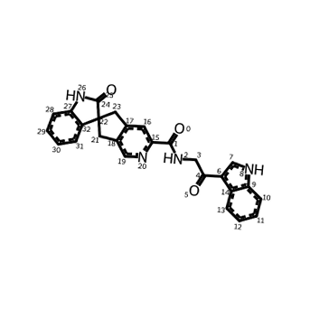 O=C(NCC(=O)c1c[nH]c2ccccc12)c1cc2c(cn1)CC1(C2)C(=O)Nc2ccccc21